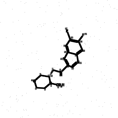 O=C(O)N1CCOC[C@@H]1CNc1cnc2cc(F)c(F)cc2n1